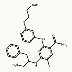 COCCOc1cc(Nc2nc(NC(CN)Cc3ccccc3)c(F)cc2C(N)=O)ccn1